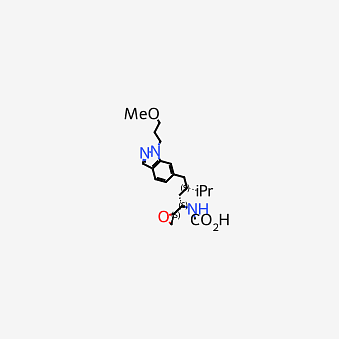 COCCCn1ncc2ccc(C[C@@H](C[C@H](NC(=O)O)[C@H]3CO3)C(C)C)cc21